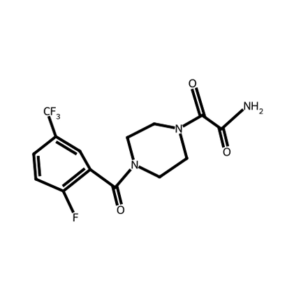 NC(=O)C(=O)N1CCN(C(=O)c2cc(C(F)(F)F)ccc2F)CC1